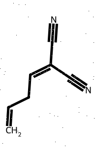 C=CCC=C(C#N)C#N